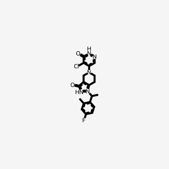 Cc1cc(F)ccc1C(C)n1[nH]c(=O)c2c1CCN(c1cn[nH]c(=O)c1Cl)C2